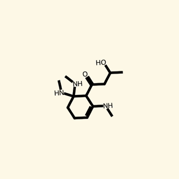 CNC1=CCCC(NC)(NC)C1C(=O)CC(C)O